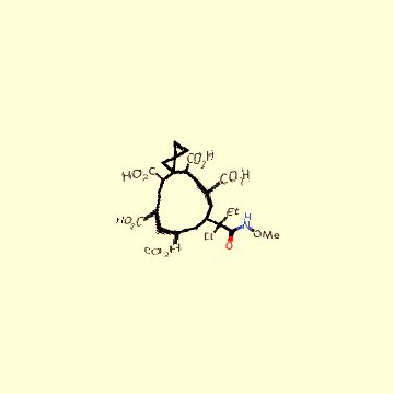 CCC(CC)(C(=O)NOC)C1CC(C(=O)O)CC(C(=O)O)CC(C(=O)O)C2(CC23C=C3)C(C(=O)O)CC(C(=O)O)C1